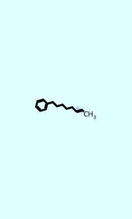 C/C=C/CCCCCc1ccccc1